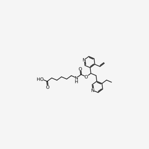 C=Cc1ccncc1C(Cc1cnccc1CC)OC(=O)NCCCCCC(=O)O